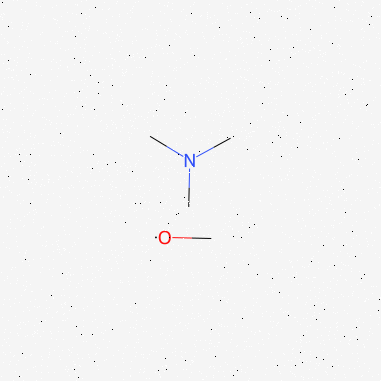 CN(C)C.C[O]